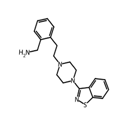 NCc1ccccc1CCN1CCN(c2nsc3ccccc23)CC1